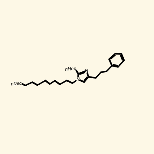 CCCCCCCCCCCCCCCCCCCn1cc(CCCc2ccccc2)nc1CCCCCC